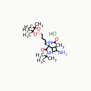 CC(=O)N[C@@](CCCCB1OC(C)(C)C(C)(C)O1)(C(=O)NC(C)(C)C)C1CC(N)C1.Cl